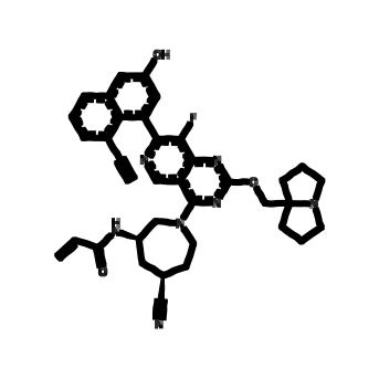 C#Cc1cccc2cc(O)cc(-c3ncc4c(N5CC[C@@H](C#N)C[C@@H](NC(=O)C=C)C5)nc(OCC56CCCN5CCC6)nc4c3F)c12